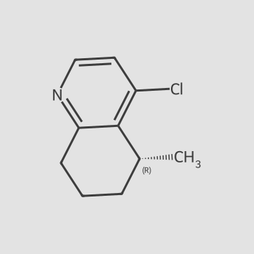 C[C@@H]1CCCc2nccc(Cl)c21